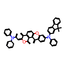 C=C1/C(=C\C(=C)N(c2ccccc2)C2C=CC=CC2)OC(=C)c2c1ccc1c2C(=C)c2ccc(N(c3ccccc3)c3ccc4c(c3)C(C)(C)c3ccccc3-4)cc2O1